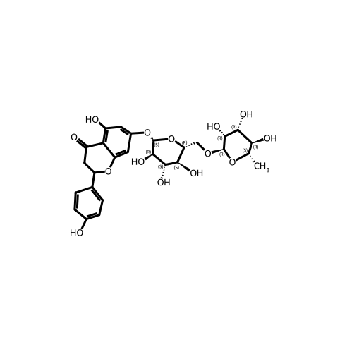 C[C@@H]1O[C@@H](OC[C@H]2O[C@@H](Oc3cc(O)c4c(c3)OC(c3ccc(O)cc3)CC4=O)[C@H](O)[C@@H](O)[C@@H]2O)[C@H](O)[C@H](O)[C@H]1O